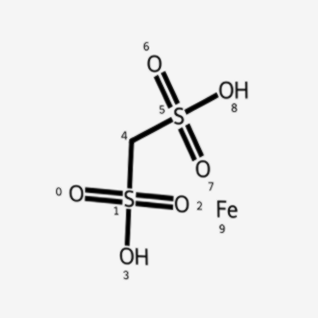 O=S(=O)(O)CS(=O)(=O)O.[Fe]